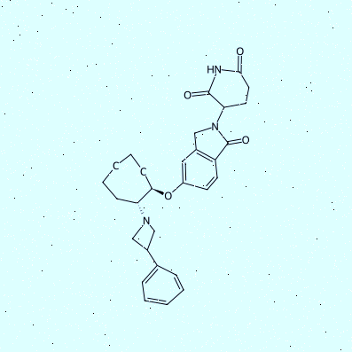 O=C1CCC(N2Cc3cc(O[C@@H]4CCCCC[C@H]4N4CC(c5ccccc5)C4)ccc3C2=O)C(=O)N1